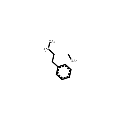 CC(=O)O[SiH2]CCc1ccccc1.COC(C)=O